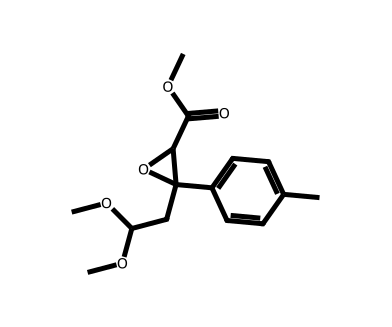 COC(=O)C1OC1(CC(OC)OC)c1ccc(C)cc1